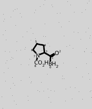 BC(=O)C1CCCN1C(=O)O